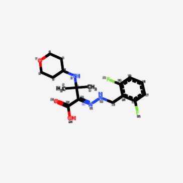 CC(C)(NC1CCOCC1)/C(=N\NCc1c(F)cccc1F)C(=O)O